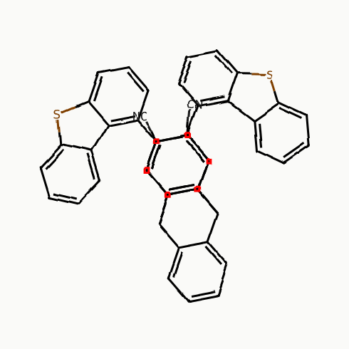 N#Cc1cc2c(cc1-c1cccc3sc4ccccc4c13)C1c3ccccc3C2c2cc(-c3cccc4sc5ccccc5c34)c(C#N)cc21